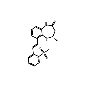 C[C@@H]1CC(=O)Nc2cccc(/C=C/c3ccccc3S(C)(=O)=O)c2N1